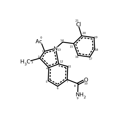 CC(=O)c1c(C)c2ccc(C(N)=O)cc2n1Cc1ccccc1Cl